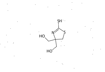 OCC1(CO)CSC(S)=N1